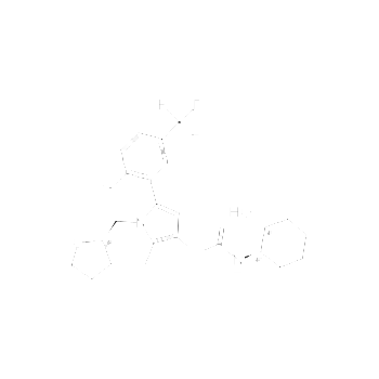 Cc1c(OC(=O)N[C@@H]2CCCC[C@H]2O)cc(-c2cc(C(F)(F)F)ccc2Cl)n1C[C@H]1CCCO1